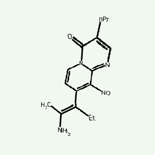 CCCc1cnc2c(N=O)c(/C(CC)=C(\C)N)ccn2c1=O